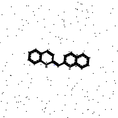 C1=Cc2ccccc2N/C1=C/c1ccc2ccccc2n1